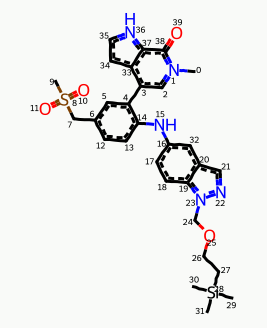 Cn1cc(-c2cc(CS(C)(=O)=O)ccc2Nc2ccc3c(cnn3COCC[Si](C)(C)C)c2)c2cc[nH]c2c1=O